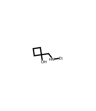 CCNCC1(O)CCC1